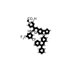 O=C(O)C[n+]1ccc(/C(=C/c2ccc3c(c2)C2CCCC2N3c2ccc(C=C(c3ccccc3)c3ccccc3)cc2)C(=O)Nc2cc(C(F)(F)F)cc(C(F)(F)F)c2)cc1